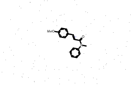 COc1ccc(/C=C/C(=O)N(C)c2ccccc2)cc1